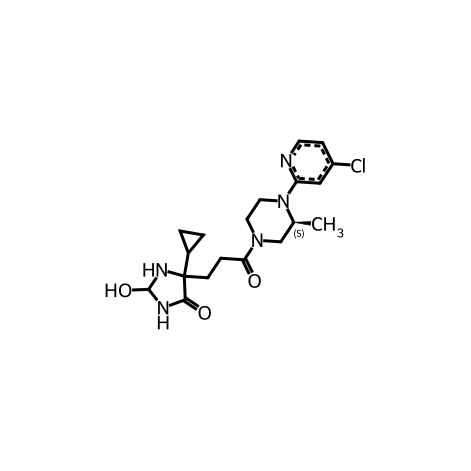 C[C@H]1CN(C(=O)CCC2(C3CC3)NC(O)NC2=O)CCN1c1cc(Cl)ccn1